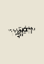 CNCCCC(NC)C(=O)Nc1ccc(CNC=O)cc1